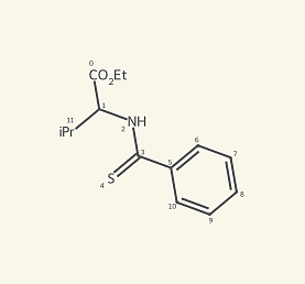 CCOC(=O)C(NC(=S)c1ccccc1)C(C)C